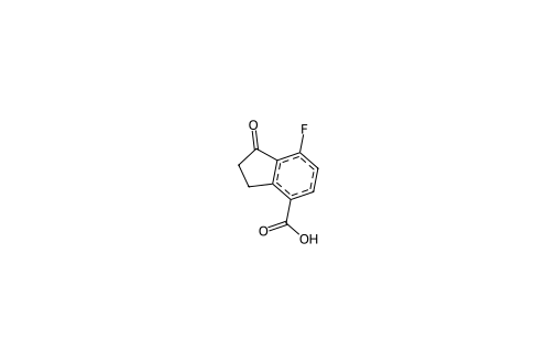 O=C(O)c1ccc(F)c2c1CCC2=O